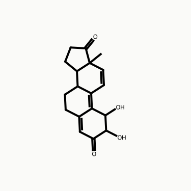 CC12C=CC3=C4C(=CC(=O)C(O)C4O)CCC3C1CCC2=O